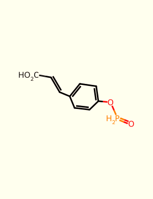 O=[PH2]Oc1ccc(C=CC(=O)O)cc1